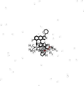 CSc1nc(N2C[C@H]3CC[C@@H](C2)N3C(=O)OC(C)(C)C)c2c(n1)sc1c(-c3c4cnn(C5CCCCO5)c4cc4ccc(F)c(C#C[Si](C(C)C)(C(C)C)C(C)C)c34)nccc12